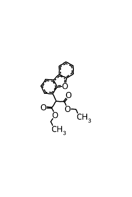 CCOC(=O)C(C(=O)OCC)c1cccc2c1oc1ccccc12